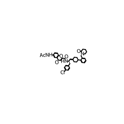 CC(=O)Nc1ccc2oc(C(=O)N[C@@H](C=C3CCC(c4ccccc4CN4CCCCC4=O)CC3)Cc3ccc(Cl)cc3)cc(=O)c2c1